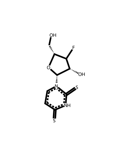 OC[C@H]1O[C@@H](n2ccc(=S)[nH]c2=S)[C@@H](O)C1F